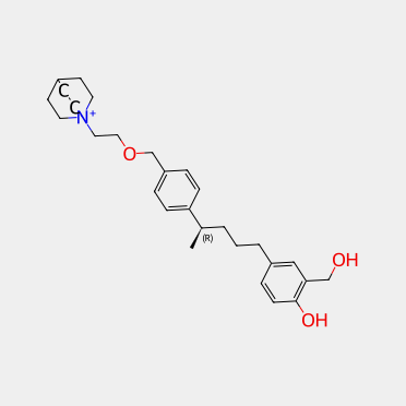 C[C@H](CCCc1ccc(O)c(CO)c1)c1ccc(COCC[N+]23CCC(CC2)CC3)cc1